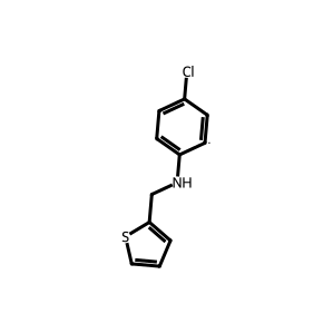 Clc1c[c]c(NCc2cccs2)cc1